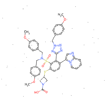 COc1ccc(CN(Cc2ccc(OC)cc2)S(=O)(=O)c2c(SC3CN(C(=O)O)C3)ccc(-c3cnc4ccccn34)c2-c2nnn(Cc3ccc(OC)cc3)n2)cc1